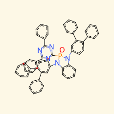 O=P1(c2nc(-c3ccccc3)nc(-c3ccccc3)n2)N(c2ccc(-c3ccccc3)c(-c3ccccc3)c2)c2ccccc2N1c1ccc(-c2ccccc2)c(-c2ccccc2)c1